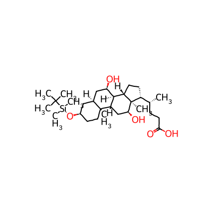 C[C@H](CCC(=O)O)[C@H]1CC[C@H]2[C@@H]3[C@H](O)C[C@@H]4C[C@H](O[Si](C)(C)C(C)(C)C)CC[C@]4(C)[C@H]3C[C@H](O)[C@]12C